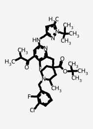 Cc1cc(Nc2cc(C(=O)C(C)C)c(F)c(CC3(C(=O)OC(C)(C)C)CCN(Cc4cccc(Cl)c4F)C(C)C3)n2)nn1C(C)(C)C